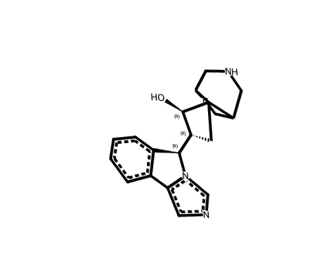 O[C@@H]1[C@@H]([C@@H]2c3ccccc3-c3cncn32)CC12C1CCC2CNC1